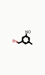 Cc1cc(CBr)cc(N=O)c1